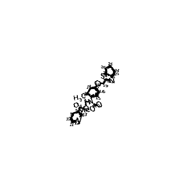 COC(=O)N(COC(=O)c1cccnc1)c1ccc(OCc2nc3ccccc3s2)cc1C